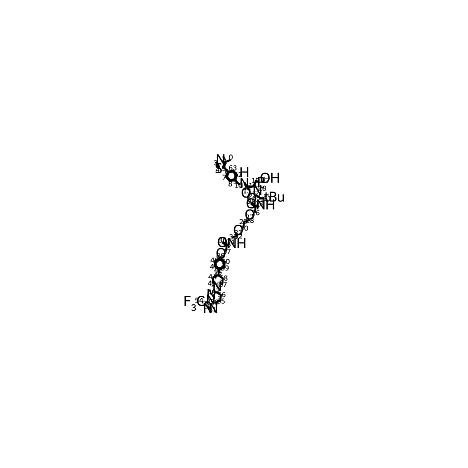 Cc1ncsc1-c1ccc(CNC(=O)C2CP(O)CN2C(=O)C(NC(=O)COCCCOCCNC(=O)COc2ccc(C3CCN(C4=Nn5c(nnc5C(F)(F)F)CC4)CC3)cc2)C(C)(C)C)cc1